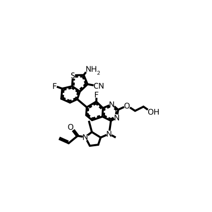 C=CC(=O)N1CCC(N(C)c2nc(OCCO)nc3c(F)c(-c4ccc(F)c5sc(N)c(C#N)c45)ccc23)C1C